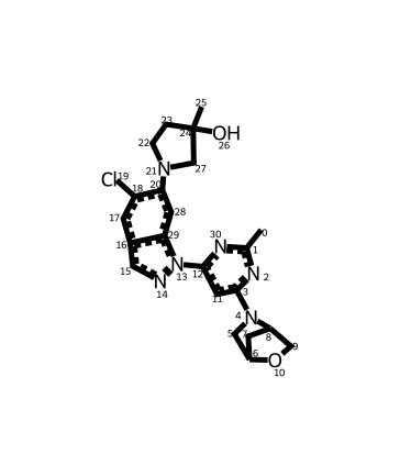 Cc1nc(N2CC3CC2CO3)cc(-n2ncc3cc(Cl)c(N4CCC(C)(O)C4)cc32)n1